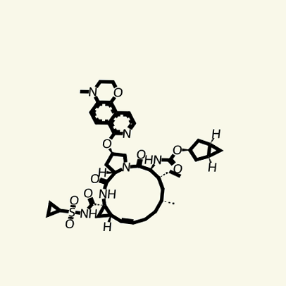 CC[C@@H]1C[C@H](C)CC/C=C\[C@@H]2C[C@@]2(C(=O)NS(=O)(=O)C2CC2)NC(=O)[C@@H]2C[C@@H](Oc3nccc4c5c(ccc34)N(C)CCO5)CN2C(=O)[C@H]1NC(=O)O[C@@H]1C[C@@H]2C[C@@H]2C1